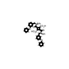 CCCN(Cc1cccc(Oc2ccccc2)c1)C(=O)C1C(C(=O)O)C(C(=O)N(CCC)Cc2cccc(Oc3ccccc3)c2)C1C(=O)O